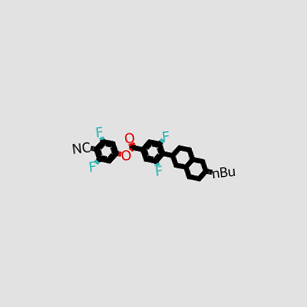 CCCCC1CCC2CC(c3c(F)cc(C(=O)Oc4cc(F)c(C#N)c(F)c4)cc3F)CCC2C1